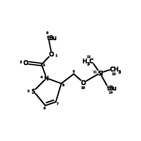 CC(C)(C)OC(=O)N1SC=CC1CO[Si](C)(C)C(C)(C)C